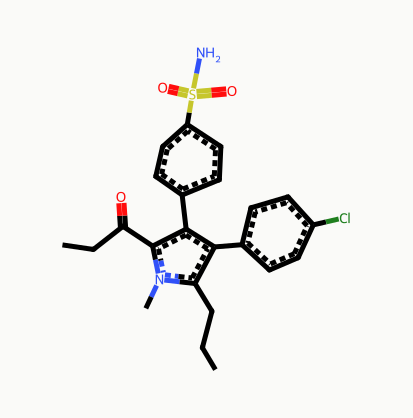 CCCc1c(-c2ccc(Cl)cc2)c(-c2ccc(S(N)(=O)=O)cc2)c(C(=O)CC)n1C